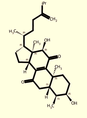 C=C(CC[C@@H](C)[C@H]1CC[C@H]2C3=C(C(=O)[C@H](O)[C@]12C)[C@@]1(C)CC[C@@H](O)[C@@H](C)[C@@H]1CC3=O)C(C)C